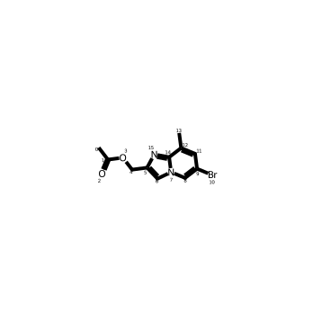 CC(=O)OCc1cn2cc(Br)cc(C)c2n1